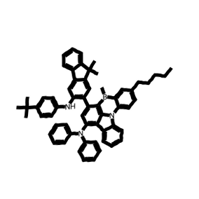 CCCCCc1ccc2c(c1)B(C)c1c(-c3cc4c(cc3Nc3ccc(C(C)(C)C)cc3)-c3ccccc3C4(C)C)cc(N(c3ccccc3)c3ccccc3)c3c4ccccc4n-2c13